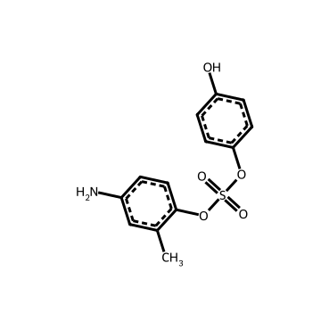 Cc1cc(N)ccc1OS(=O)(=O)Oc1ccc(O)cc1